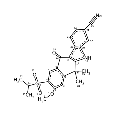 COc1cc2c(cc1S(=O)(=O)C(C)C)C(=O)c1c([nH]c3cc(C#N)ccc13)C2(C)C